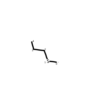 [CH2]SCCC